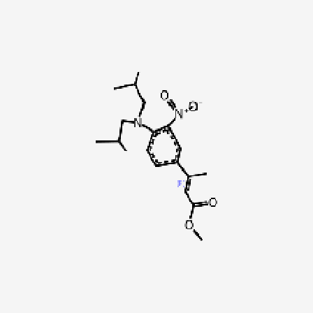 COC(=O)/C=C(\C)c1ccc(N(CC(C)C)CC(C)C)c([N+](=O)[O-])c1